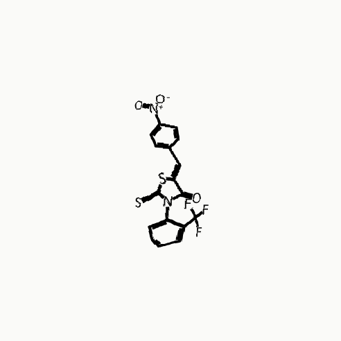 O=C1C(=Cc2ccc([N+](=O)[O-])cc2)SC(=S)N1c1ccccc1C(F)(F)F